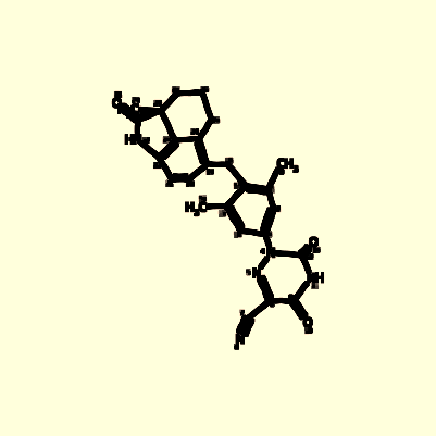 Cc1cc(-n2nc(C#N)c(=O)[nH]c2=O)cc(C)c1Cc1ccc2c3c1CCCC3(C)C(=O)N2